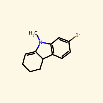 CN1C2=CCCCC2c2ccc(Br)cc21